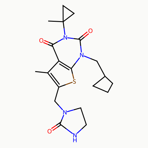 Cc1c(CN2CCNC2=O)sc2c1c(=O)n(C1(C)CC1)c(=O)n2CC1CCC1